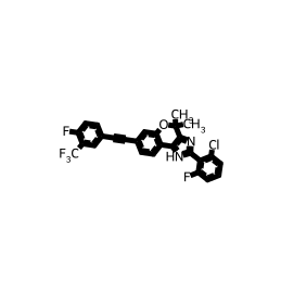 CC1(C)Oc2cc(C#Cc3ccc(F)c(C(F)(F)F)c3)ccc2-c2[nH]c(-c3c(F)cccc3Cl)nc21